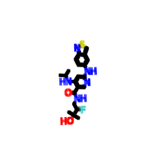 CC(C)Nc1cc(Nc2ccc3nscc3c2)ncc1C(=O)NC[C@@H](F)C(C)(C)O